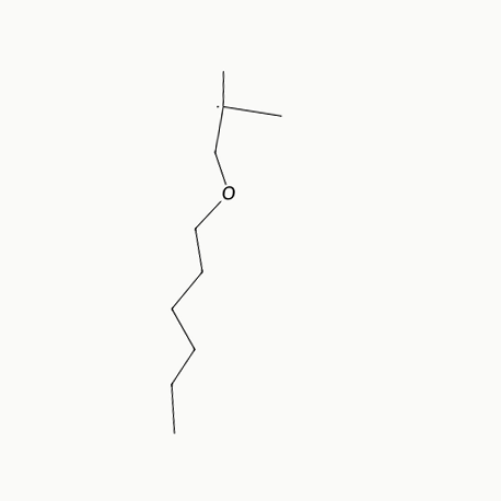 CCCCCCOC[C](C)C